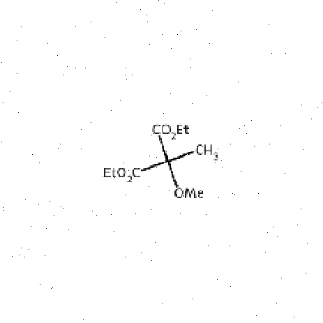 CCOC(=O)C(C)(OC)C(=O)OCC